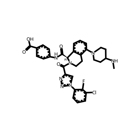 CNC1CCN(c2cccc3c2CCN(C(=O)c2cn(-c4cccc(Cl)c4F)nn2)[C@H]3C(=O)Nc2ccc(C(=O)O)cc2)CC1